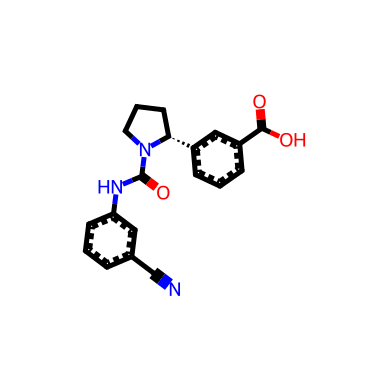 N#Cc1cccc(NC(=O)N2CCC[C@@H]2c2cccc(C(=O)O)c2)c1